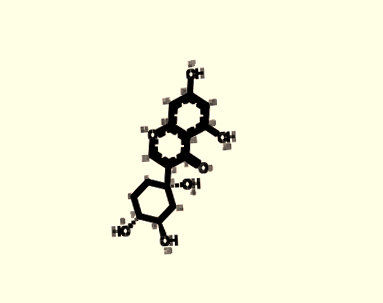 O=c1c([C@]2(O)CC[C@@H](O)[C@H](O)C2)coc2cc(O)cc(O)c12